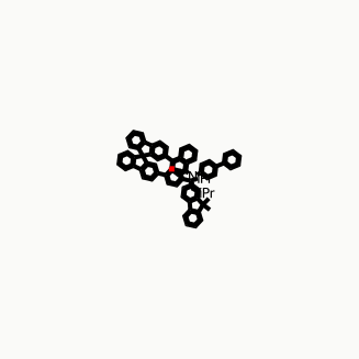 CC(C)CC(c1ccc(-c2ccc3c(c2)C2(c4ccccc4-3)c3ccccc3-c3ccc(-c4ccc(N(c5ccc(-c6ccccc6)cc5)c5ccc6c(c5)C(C)(C)c5ccccc5-6)c5ccccc45)cc32)cc1)C(C)C